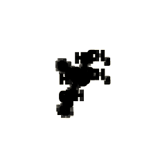 CNCCCC[C@H](NC(=O)[C@H](CCCCNC(=O)OCc1ccccc1)NC(=O)OCc1ccccc1)C(=O)OC